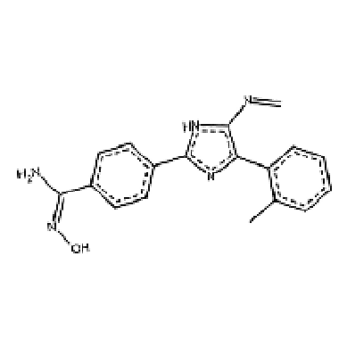 C=Nc1[nH]c(-c2ccc(/C(N)=N\O)cc2)nc1-c1ccccc1C